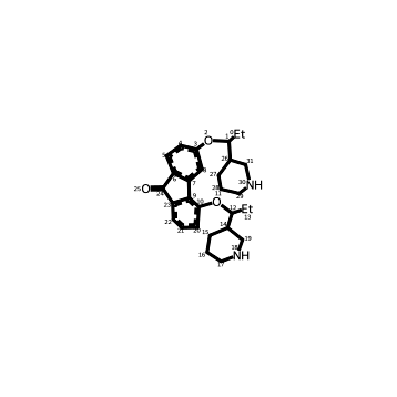 CCC(Oc1ccc2c(c1)-c1c(OC(CC)C3CCCNC3)cccc1C2=O)C1CCCNC1